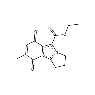 CCOC(=O)c1c2c(c3n1CCC3)C(=O)C(C)=CC2=O